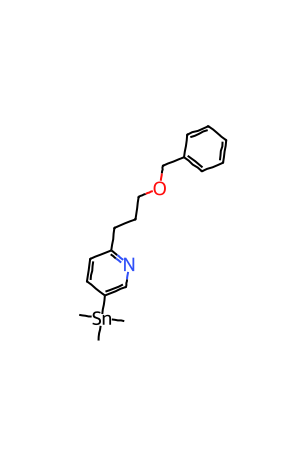 [CH3][Sn]([CH3])([CH3])[c]1ccc(CCCOCc2ccccc2)nc1